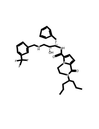 CCCC(CCC)N1CCn2c(C(=O)N[C@@H](Cc3ccccc3)[C@H](O)CNCc3cccc(C(F)(F)F)c3)ccc2C1=O